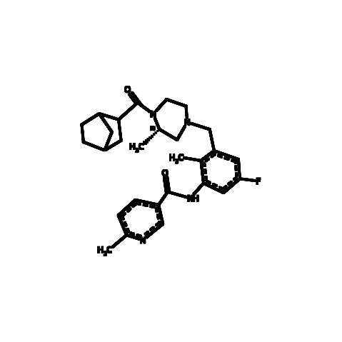 Cc1ccc(C(=O)Nc2cc(F)cc(CN3CCN(C(=O)C4CC5CCC4C5)[C@@H](C)C3)c2C)cn1